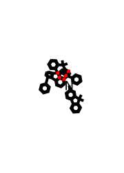 CC1(C)c2ccccc2-c2ccc(N(c3ccc4c(c3)C3(c5ccccc5C(C)(C)c5ccccc53)c3cccc(-c5ccccc5)c3-4)c3ccccc3-c3ccccc3)cc21